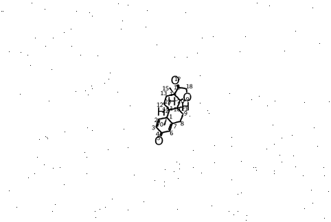 C[C@]12C=CC(=O)C=C1CC[C@@H]1[C@@H]2CC[C@]2(C)C(=O)CO[C@@H]12